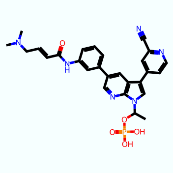 CC(OP(=O)(O)O)n1cc(-c2ccnc(C#N)c2)c2cc(-c3cccc(NC(=O)C=CCN(C)C)c3)cnc21